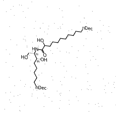 CCCCCCCCCCCCCCCCCCCC(O)C(=O)N[C@@H](CO)[C@H](O)CCCCCCCCCCCCCCC